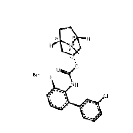 C[N+]1(C)[C@@H]2CC[C@H]1C[C@@H](OC(=O)Nc1c(F)cccc1-c1cccc(Cl)c1)C2.[Br-]